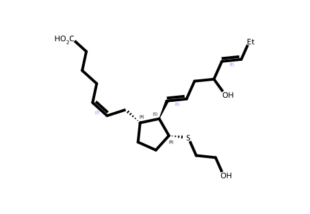 CC/C=C/C(O)C/C=C/[C@@H]1[C@@H](C/C=C\CCCC(=O)O)CC[C@H]1SCCO